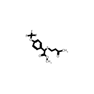 COC(=O)C(SCCC(C)=O)c1ccc(OC(F)(F)F)cc1